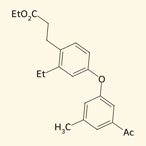 CCOC(=O)CCc1ccc(Oc2cc(C)cc(C(C)=O)c2)cc1CC